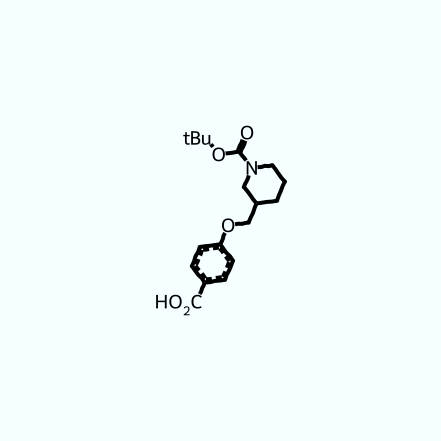 CC(C)(C)OC(=O)N1CCCC(COc2ccc(C(=O)O)cc2)C1